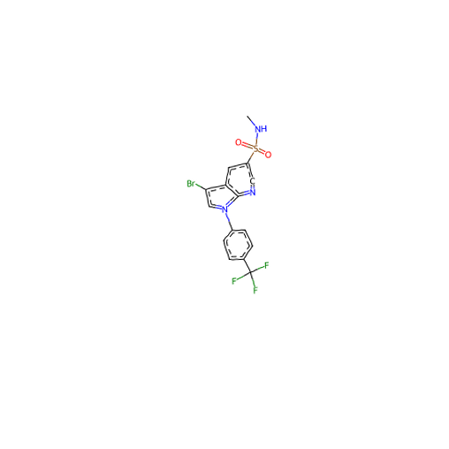 CNS(=O)(=O)c1cnc2c(c1)c(Br)cn2-c1ccc(C(F)(F)F)cc1